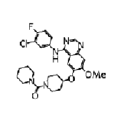 COc1cc2ncnc(Nc3ccc(F)c(Cl)c3)c2cc1OC1CCN(C(=O)N2CCCCC2)CC1